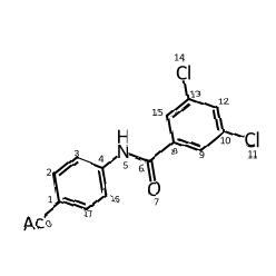 CC(=O)c1ccc(NC(=O)c2cc(Cl)cc(Cl)c2)cc1